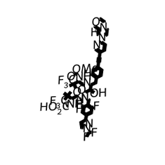 COC(=O)NC(C(=O)NC(Cc1ccc(C#Cc2ccc(N3CCN4CCOC[C@@H]4C3)nc2)cc1)C(O)CN(Cc1c(F)cc(-c2ccn(C(F)F)n2)cc1F)NC(=O)C(NC(=O)O)C(C)(C)C(F)(F)F)C(C)(C)C(F)(F)F